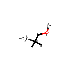 CCOCC(C)(C)C(=O)O